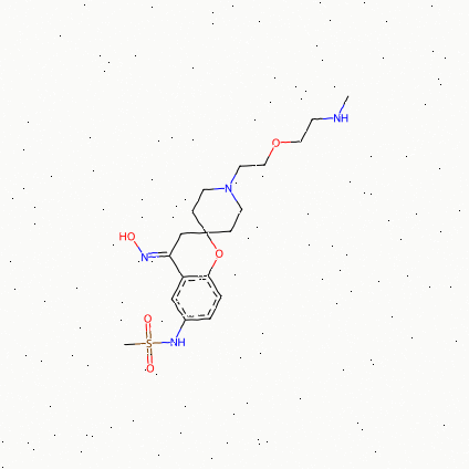 CNCCOCCN1CCC2(CC1)C/C(=N\O)c1cc(NS(C)(=O)=O)ccc1O2